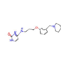 O=c1nc(NCCCOc2cccc(CN3CCCCC3)c2)cc[nH]1